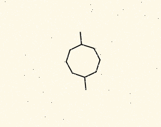 CC1[CH]CCC(C)C[CH]C1